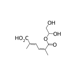 CC(=CC=C(C)C(=O)OC(O)CO)C(=O)O